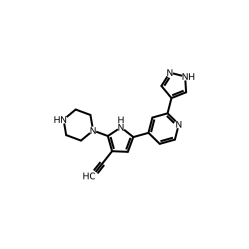 C#Cc1cc(-c2ccnc(-c3cn[nH]c3)c2)[nH]c1N1CCNCC1